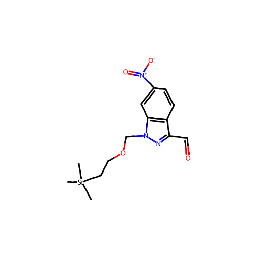 C[Si](C)(C)CCOCn1nc(C=O)c2ccc([N+](=O)[O-])cc21